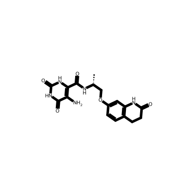 C[C@H](COc1ccc2c(c1)NC(=O)CC2)NC(=O)c1[nH]c(=O)[nH]c(=O)c1N